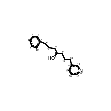 OC(CCCc1ccccc1)CCCc1cccnc1